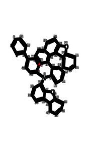 c1ccc(-c2ccc(N(c3ccccc3-c3cccc4ccc5oc6ccccc6c5c34)c3cccc4c3oc3ccccc34)cc2)cc1